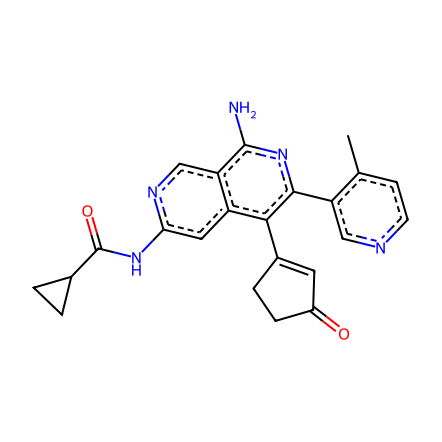 Cc1ccncc1-c1nc(N)c2cnc(NC(=O)C3CC3)cc2c1C1=CC(=O)CC1